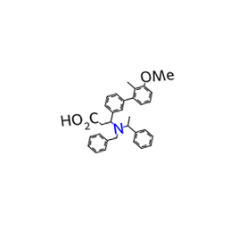 COc1cccc(-c2cccc(C(CC(=O)O)N(Cc3ccccc3)C(C)c3ccccc3)c2)c1C